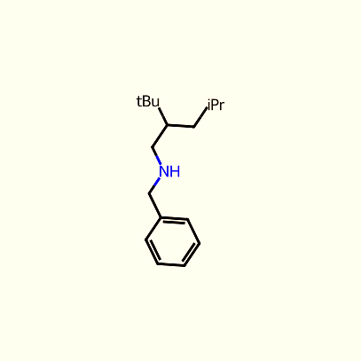 CC(C)CC(CNCc1ccccc1)C(C)(C)C